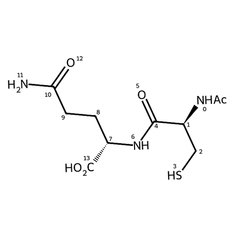 CC(=O)N[C@@H](CS)C(=O)N[C@@H](CCC(N)=O)C(=O)O